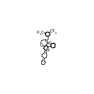 O=C1c2c(cc(N3CCC(N4CCCC4)CC3)nc2-c2ccccc2)OCCCN1Cc1cc(C(F)(F)F)cc(C(F)(F)F)c1